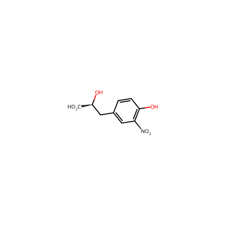 O=C(O)[C@@H](O)Cc1ccc(O)c([N+](=O)[O-])c1